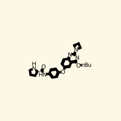 CCCCOc1nc(N2CCC2)nc2ccc(Oc3ccc(NC(=O)[C@@H]4CCCN4)cc3)cc12